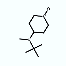 CN(C1CC[S+]([O-])CC1)C(C)(C)C